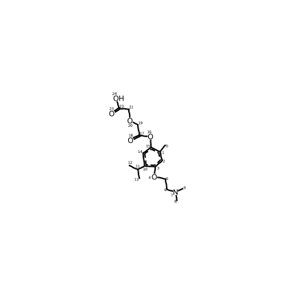 Cc1cc(OCCN(C)C)c(C(C)C)cc1OC(=O)COCC(=O)O